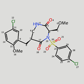 COC[C@@H]1C(=O)NC[C@H](Cc2cc(Cl)ccc2OC)C(=O)N1S(=O)(=O)c1ccc(Cl)cc1